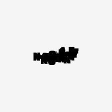 CCn1c([C@@H](C)NS(=O)(=O)c2ccc(C#N)nc2)nc2ncc(C(F)(F)F)cc21